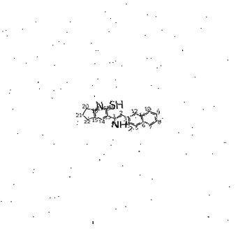 N/C(=C\c1ccc2ccccc2c1)c1cc2c(nc1S)CCC2